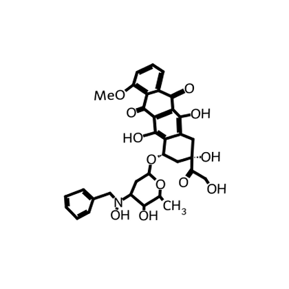 COc1cccc2c1C(=O)c1c(O)c3c(c(O)c1C2=O)C[C@@](O)(C(=O)CO)C[C@@H]3OC1CC(N(O)Cc2ccccc2)C(O)C(C)O1